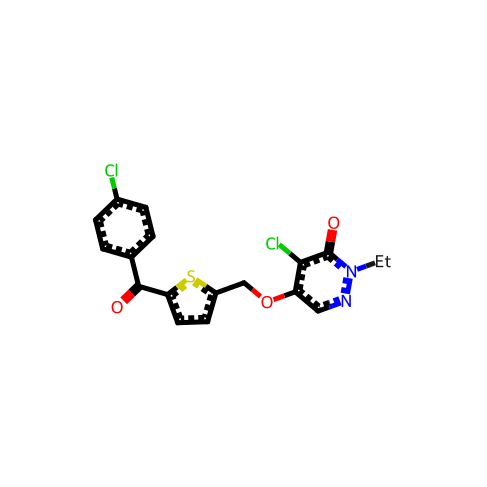 CCn1ncc(OCc2ccc(C(=O)c3ccc(Cl)cc3)s2)c(Cl)c1=O